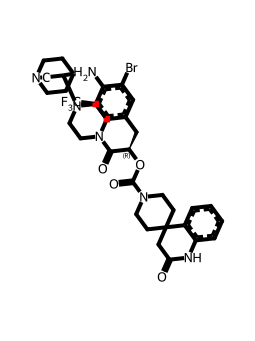 Nc1c(Br)cc(C[C@@H](OC(=O)N2CCC3(CC2)CC(=O)Nc2ccccc23)C(=O)N2CCN(C3CN4CCC3CC4)CC2)cc1C(F)(F)F